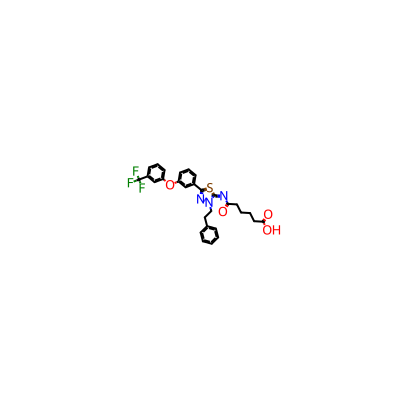 O=C(O)CCCCC(=O)N=c1sc(-c2cccc(Oc3cccc(C(F)(F)F)c3)c2)nn1CCc1ccccc1